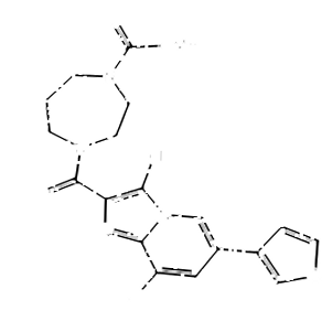 COC(=O)N1CCCN(C(=O)c2nc3c(C(F)(F)F)cc(-c4ccoc4)cn3c2Cl)CC1